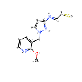 CCOc1ncccc1Cn1ccc(N=CC=S)n1